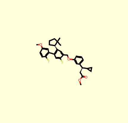 COC(=O)C[C@@H](c1cccc(OCc2cc([C@H]3CCCC3(C)C)c(-c3cc(OC)ccc3F)cc2F)c1)C1CC1